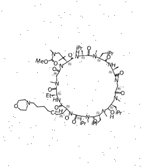 CC[C@@H]1NC(=O)[C@@H]2[C@@H]([C@H](C)CCCCCN3CCOCC3)ON2C(=O)[C@H](C(C)C)N(C)C(=O)[C@H](CC(C)C)N(C)C(O)[C@H](CC(C)C)N(C)C(=O)[C@@H](C)NC(=O)[C@H](C)NC(=O)[C@H](CC(C)C)N(C)C(=O)[C@H](C(C)C)NC(=O)[C@H](C(C)(C)CN(C)C(=O)OC)N(C)C(=O)[C@@H](C)N(C)C1=O